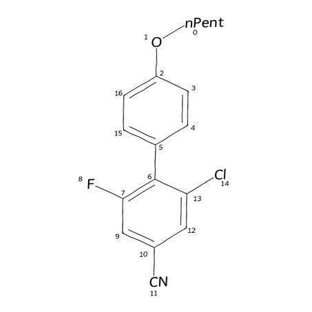 CCCCCOc1ccc(-c2c(F)cc(C#N)cc2Cl)cc1